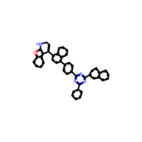 C1=C(c2ccc(-c3ccc(-c4nc(-c5ccccc5)nc(-c5ccc6ccccc6c5)n4)cc3)c3ccccc23)c2c(oc3ccccc23)NC1